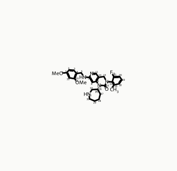 COc1ccc(CNc2cc3c(cn2)CN(c2c(C)cccc2F)C(=O)N3[C@@H]2CCCCNC2)c(OC)c1